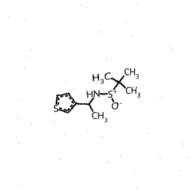 CC(N[S+]([O-])C(C)(C)C)c1ccsc1